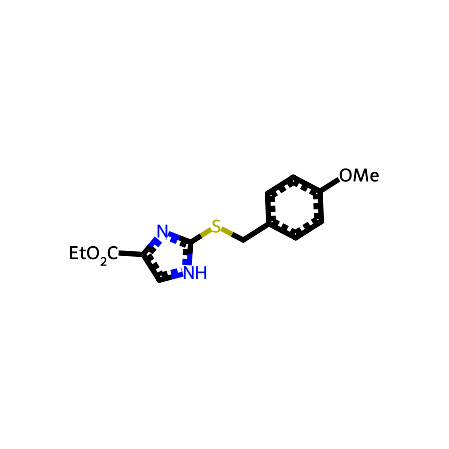 CCOC(=O)c1c[nH]c(SCc2ccc(OC)cc2)n1